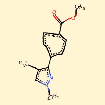 COC(=O)c1ccc(-c2nn(C)cc2C)cc1